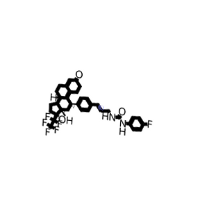 C[C@]12C[C@H](c3ccc(/C=C/CNC(=O)Nc4ccc(F)cc4)cc3)C3=C4CCC(=O)C=C4CC[C@H]3C1CC[C@@]2(O)C(F)(F)C(F)(F)F